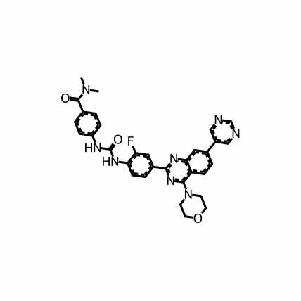 CN(C)C(=O)c1ccc(NC(=O)Nc2ccc(-c3nc(N4CCOCC4)c4ccc(-c5cncnc5)cc4n3)cc2F)cc1